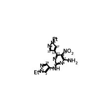 CCn1cc(Nc2nc(N)c([N+](=O)[O-])c(-c3cnn(CC)c3)n2)cn1